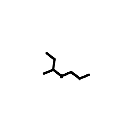 C[CH]CSC(C)CC